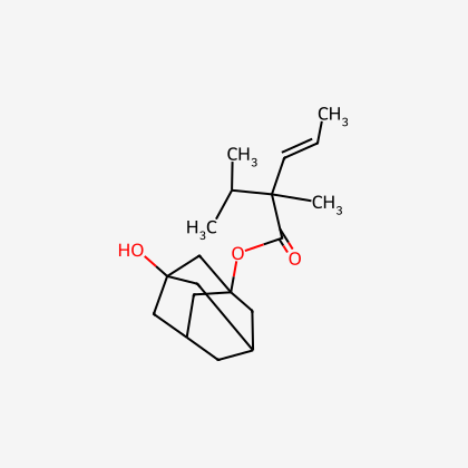 C/C=C/C(C)(C(=O)OC12CC3CC(CC(O)(C3)C1)C2)C(C)C